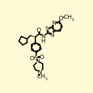 COc1ccc2nc(NC(=O)[C@H](CC3CCCC3)c3ccc(S(=O)(=O)N4CCN(C)CC4)cc3)sc2n1